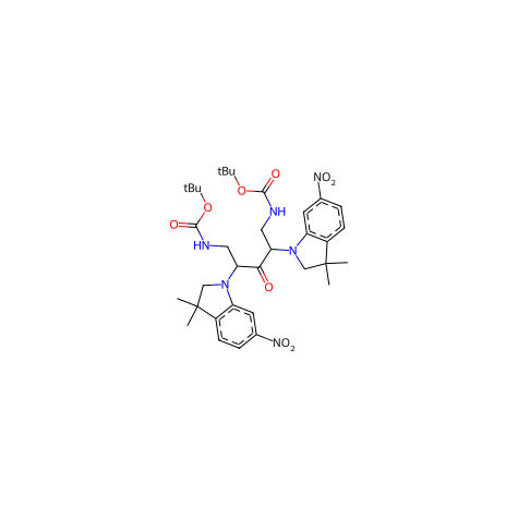 CC(C)(C)OC(=O)NCC(C(=O)C(CNC(=O)OC(C)(C)C)N1CC(C)(C)c2ccc([N+](=O)[O-])cc21)N1CC(C)(C)c2ccc([N+](=O)[O-])cc21